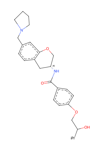 CC(C)C(O)COc1ccc(C(=O)N[C@H]2COc3cc(CN4CCCC4)ccc3C2)cc1